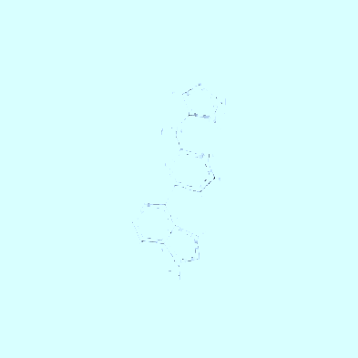 c1cc(-c2ccnc(Nc3cc[nH]n3)n2)c2cc[nH]c2c1